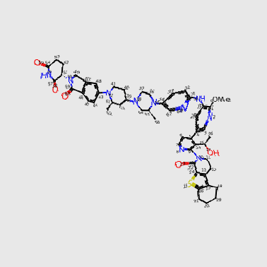 COc1ncc(-c2ccnc(N3CCc4c(sc5c4CCCC5)C3=O)c2[C@@H](C)O)cc1Nc1ccc(N2CCN(C3CCN(c4ccc5c(c4)CN([C@H]4CCC(=O)NC4=O)C5=O)[C@H](C)C3)C[C@@H]2C)cn1